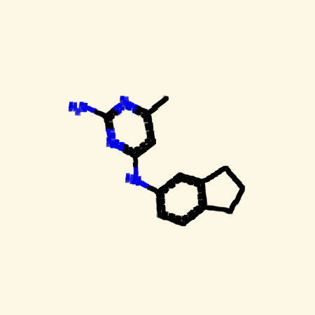 Cc1cc(Nc2ccc3c(c2)CCC3)nc(N)n1